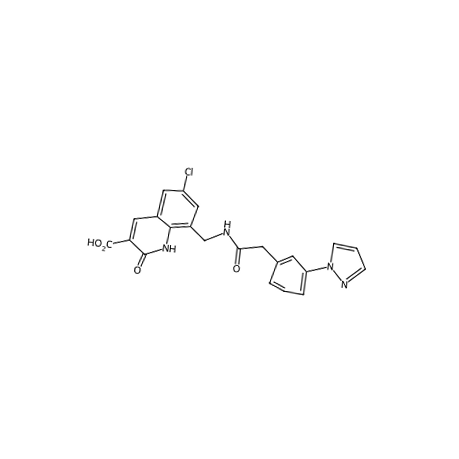 O=C(Cc1cccc(-n2cccn2)c1)NCc1cc(Cl)cc2cc(C(=O)O)c(=O)[nH]c12